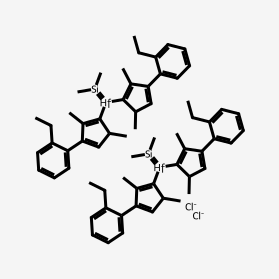 CCc1ccccc1C1=CC(C)[C]([Hf]([C]2=C(C)C(c3ccccc3CC)=CC2C)=[Si](C)C)=C1C.CCc1ccccc1C1=CC(C)[C]([Hf]([C]2=C(C)C(c3ccccc3CC)=CC2C)=[Si](C)C)=C1C.[Cl-].[Cl-]